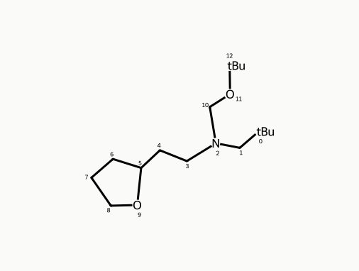 CC(C)(C)CN(CCC1CCCO1)COC(C)(C)C